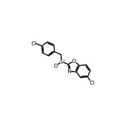 [O-][S+](Cc1ccc(Cl)cc1)c1nc2cc(Cl)ccc2o1